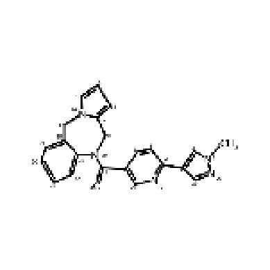 Cn1cc(-c2ccc(C(=O)N3Cc4cccn4Cc4ccccc43)cn2)cn1